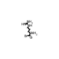 N=C(N)NCCC[C@H](N)C(=O)Br